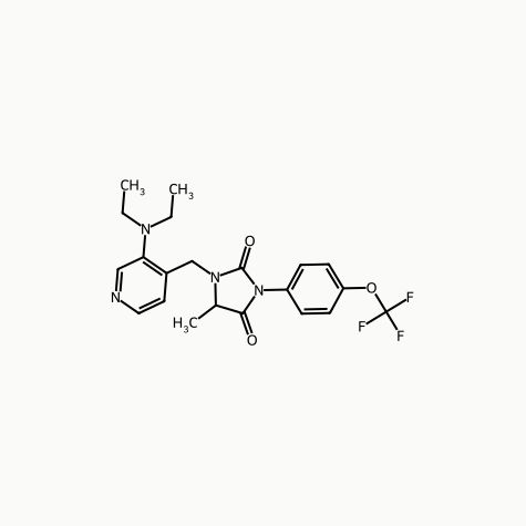 CCN(CC)c1cnccc1CN1C(=O)N(c2ccc(OC(F)(F)F)cc2)C(=O)C1C